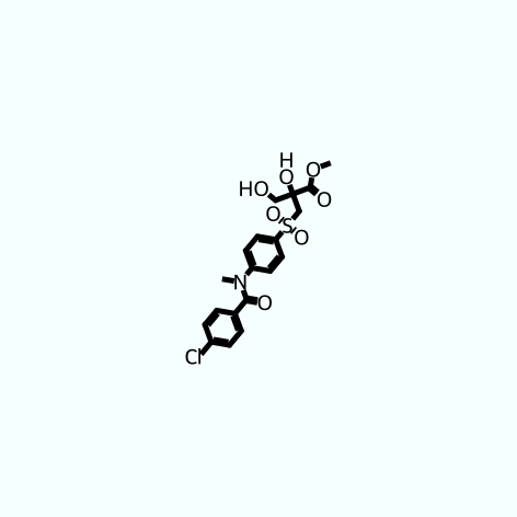 COC(=O)C(O)(CO)CS(=O)(=O)c1ccc(N(C)C(=O)c2ccc(Cl)cc2)cc1